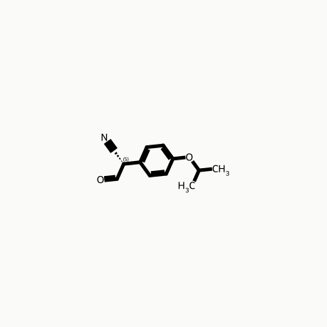 CC(C)Oc1ccc([C@@H](C#N)C=O)cc1